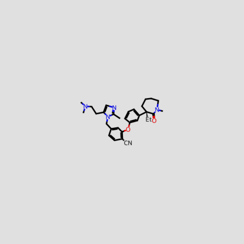 CC[C@@]1(c2cccc(Oc3cc(Cn4c(CCN(C)C)cnc4C)ccc3C#N)c2)CCCCN(C)C1=O